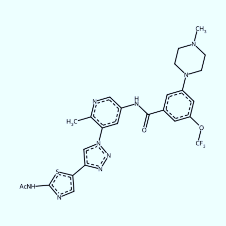 CC(=O)Nc1ncc(-c2cn(-c3cc(NC(=O)c4cc(OC(F)(F)F)cc(N5CCN(C)CC5)c4)cnc3C)nn2)s1